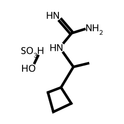 CC(NC(=N)N)C1CCC1.O=S(=O)(O)O